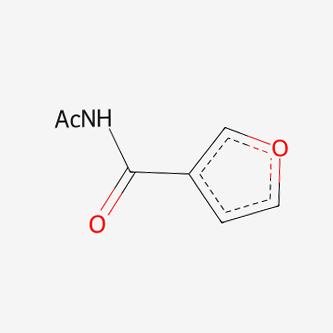 CC(=O)NC(=O)c1ccoc1